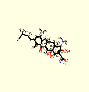 CCCCCC(C)CCc1cc(N(C)C)c2c(c1C)C(=O)C1=C(C)[C@]3(O)C(=O)C(C(N)=O)=C(O)[C@@H](N(C)C)[C@@H]3C[C@@H]1C2